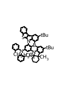 Cc1ccccc1N(c1cc2c3c(c1)-n1c4sc5ccccc5c4c4cc(C(C)(C)C)cc(c41)B3c1cc(C(C)(C)C)cc3c1N2C1(C)CCCCC31C)c1ccccc1C